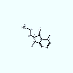 Cc1cccc2c1C(=O)N(CCO)C2C